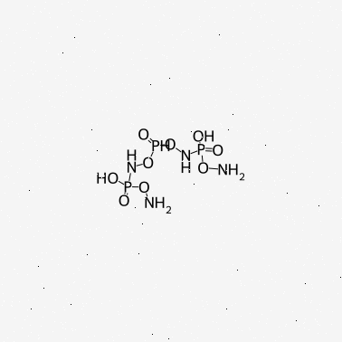 NOP(=O)(O)NO[PH](=O)ONP(=O)(O)ON